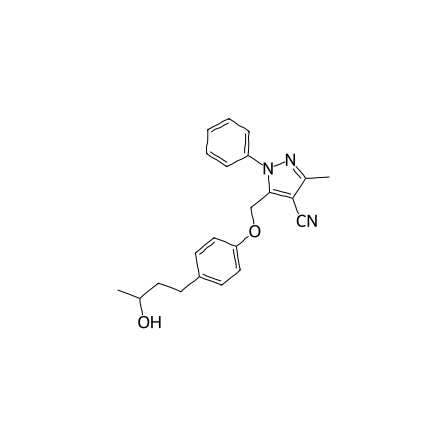 Cc1nn(-c2ccccc2)c(COc2ccc(CCC(C)O)cc2)c1C#N